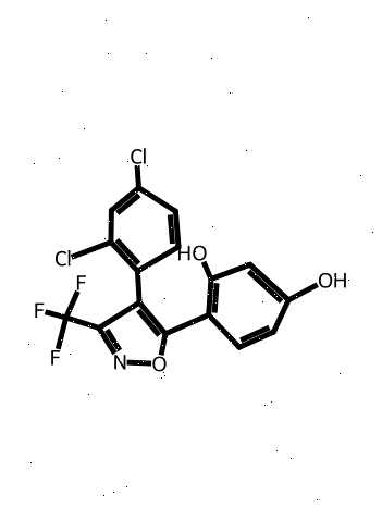 Oc1ccc(-c2onc(C(F)(F)F)c2-c2ccc(Cl)cc2Cl)c(O)c1